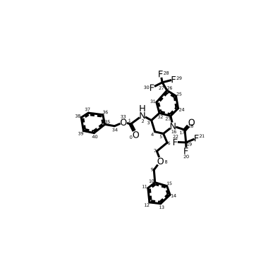 O=C(NC1CC(CCOCc2ccccc2)N(C(=O)C(F)(F)F)c2ccc(C(F)(F)F)cc21)OCc1ccccc1